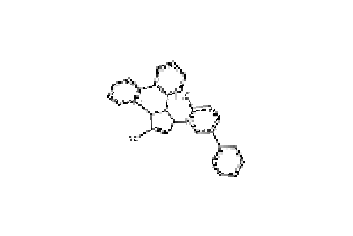 Cc1ccc(-c2ccccc2)c[n+]1C1C=C(C#N)C2C1c1ccccc1-c1cccc[n+]12